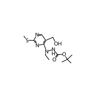 CCN(NC(=O)OC(C)(C)C)c1nc(SC)ncc1CO